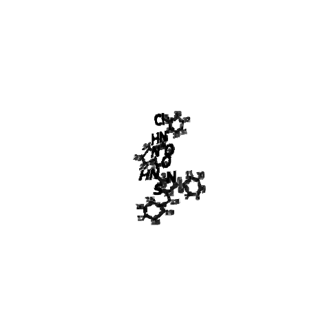 O=C(Nc1nc(-c2ccccc2)c(Cc2ccccc2)s1)[C@H]1CCCN1C(=O)Nc1ccccc1Cl